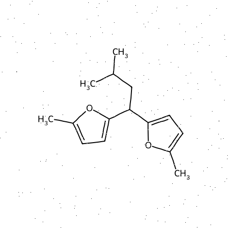 Cc1ccc(C(CC(C)C)c2ccc(C)o2)o1